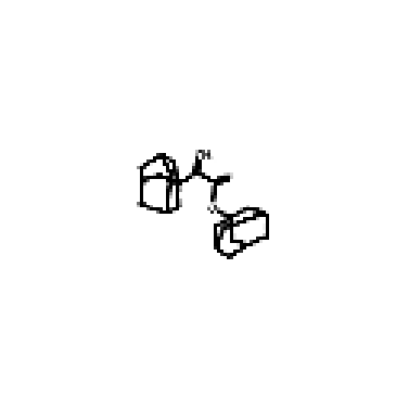 C=C(C(=O)OC12CC3CC(CC(C3)C1)C2)C12CC3CC(CC(C3)C1)C2